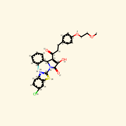 COCCOc1ccc(CCC(=O)C2=C(O)C(=O)N(c3nc4ccc(Cl)cc4s3)C2c2ccccc2F)cc1